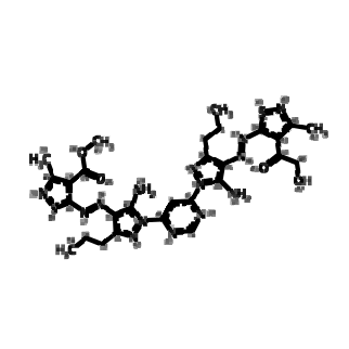 CCCc1nn(-c2cc(-n3nc(CCC)c(/N=N/c4snc(C)c4C(=O)OC)c3N)ncn2)c(N)c1/N=N/c1snc(C)c1C(=O)CO